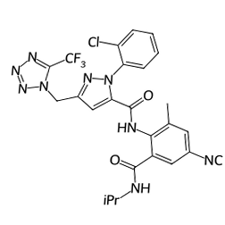 [C-]#[N+]c1cc(C)c(NC(=O)c2cc(Cn3nnnc3C(F)(F)F)nn2-c2ccccc2Cl)c(C(=O)NC(C)C)c1